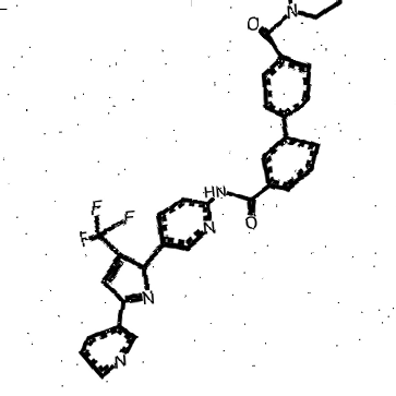 O=C(Nc1ccc(C2N=C(c3cccnc3)C=C2C(F)(F)F)cn1)c1cccc(-c2ccc(C(=O)N3CCOCC3)cc2)c1